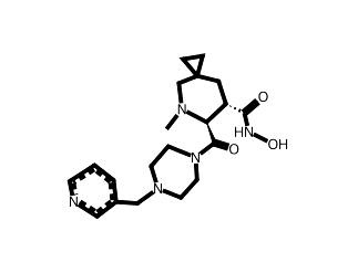 CN1CC2(CC2)C[C@H](C(=O)NO)[C@H]1C(=O)N1CCN(Cc2cccnc2)CC1